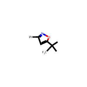 CC(C)c1cc(C(C)(C)C(F)(F)F)on1